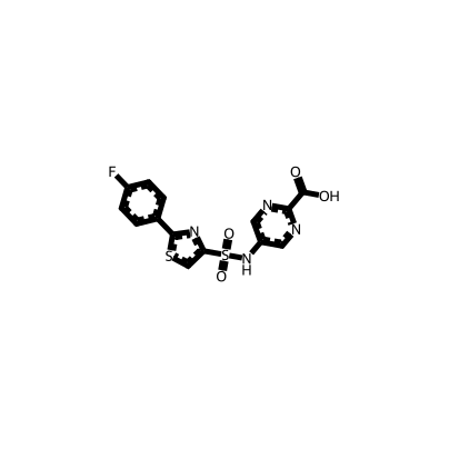 O=C(O)c1ncc(NS(=O)(=O)c2csc(-c3ccc(F)cc3)n2)cn1